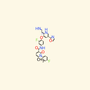 Cc1ccc(C(=O)Nc2ccc(OC3=CC(c4ncco4)=CN/C3=C\C=N)c(F)c2)c(=O)n1-c1ccc(F)cc1